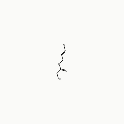 CC(=O)CC(=O)OC/C=N/O